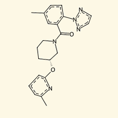 Cc1ccc(-n2nccn2)c(C(=O)N2CCC[C@@H](Oc3cccc(C)n3)C2)c1